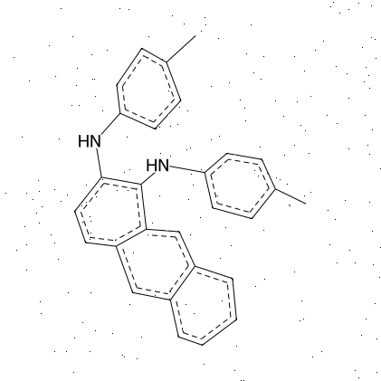 Cc1ccc(Nc2ccc3cc4ccccc4cc3c2Nc2ccc(C)cc2)cc1